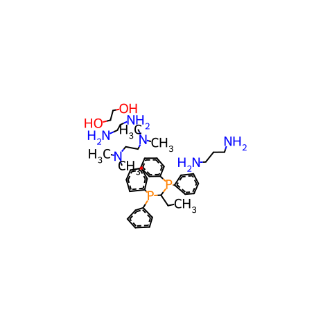 CCC(P(c1ccccc1)c1ccccc1)P(c1ccccc1)c1ccccc1.CN(C)CCN(C)C.NCCCN.NCCN.OCCO